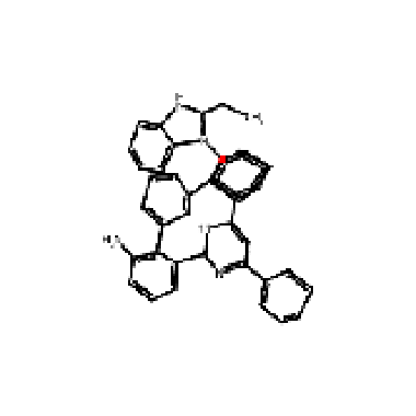 CCC1Nc2ccccc2N1c1ccccc1-c1cccc(-c2c(N)cccc2C2N=C(c3ccccc3)C=C(c3ccccc3)N2)c1